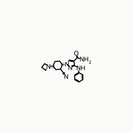 N#CC1C[C@@H](N2CCC2)CC[C@@H]1n1cc(C(N)=O)c(Nc2ccccc2)n1